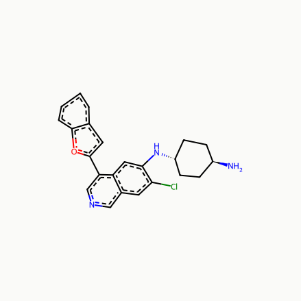 N[C@H]1CC[C@H](Nc2cc3c(-c4cc5ccccc5o4)cncc3cc2Cl)CC1